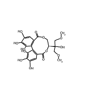 COCC(O)(COC)[C@@H]1COC(=O)c2cc(O)c(O)c(O)c2-c2c(cc(O)c(O)c2O)C(=O)O1